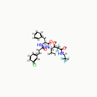 CC(C)[C@H](NC(=O)[C@H](Cc1ccccc1)NC(=O)CCc1cccc(Cl)c1)C(=O)C(F)(F)C(=O)NCC(F)(F)F